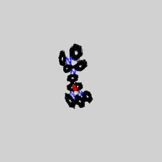 C1=CCCC(n2c3ccccc3c3ccc4c(c5ccccc5n4-c4ccc(-c5ccc(-n6c7ccccc7c7ccc8c9ccccc9n(-c9ccccc9)c8c76)cc5)cc4)c32)=C1